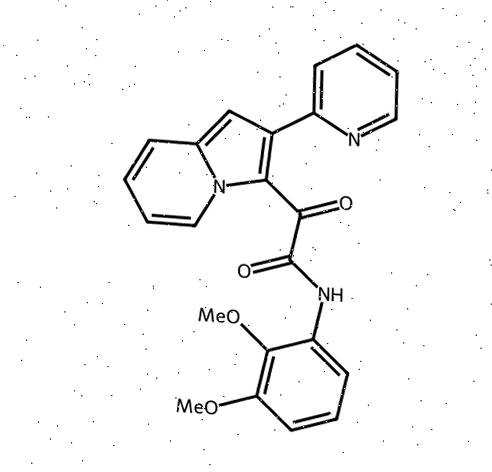 COc1cccc(NC(=O)C(=O)c2c(-c3ccccn3)cc3ccccn23)c1OC